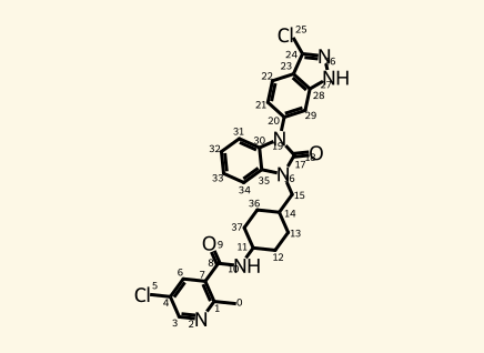 Cc1ncc(Cl)cc1C(=O)NC1CCC(Cn2c(=O)n(-c3ccc4c(Cl)n[nH]c4c3)c3ccccc32)CC1